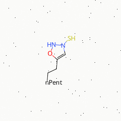 CCCCCCCC1=CN(S)NO1